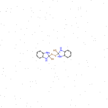 SC1(SSC2(S)Nc3ccccc3N2)Nc2ccccc2N1